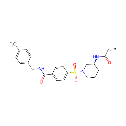 C=CC(=O)N[C@H]1CCCN(S(=O)(=O)c2ccc(C(=O)NCc3ccc(C(F)(F)F)cc3)cc2)C1